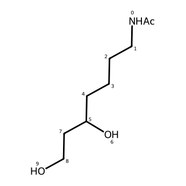 CC(=O)NCCCCC(O)CCO